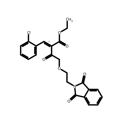 CCOC(=O)/C(=C/c1ccccc1Cl)C(=O)COCCN1C(=O)c2ccccc2C1=O